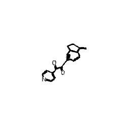 C=C1CCc2cc(C(=O)C(=O)c3ccncc3)ccc21